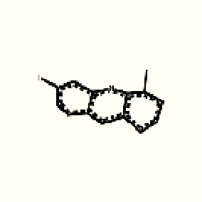 Cc1cccc2cc3ccc(I)cc3nc12